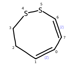 C1=C\CCSS\C=C/1